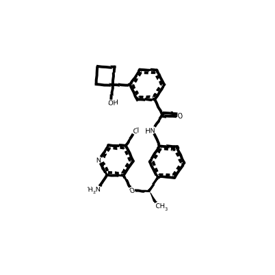 C[C@@H](Oc1cc(Cl)cnc1N)c1cccc(NC(=O)c2cccc(C3(O)CCC3)c2)c1